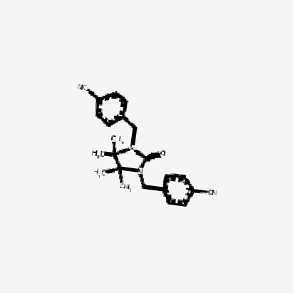 CC1(C)N(Cc2ccc(C#N)cc2)C(=O)N(Cc2ccc(C#N)cc2)C1(C)C